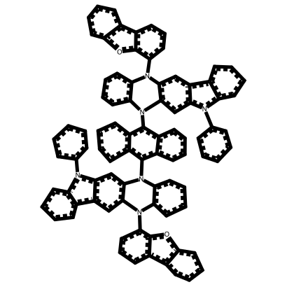 c1ccc(-n2c3ccccc3c3cc4c(cc32)N(c2c3ccccc3c(N3c5ccccc5N(c5cccc6c5oc5ccccc56)c5cc6c7ccccc7n(-c7ccccc7)c6cc53)c3ccccc23)c2ccccc2N4c2cccc3c2oc2ccccc23)cc1